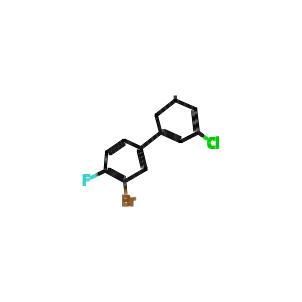 Fc1ccc(C2=CC(Cl)=C[CH]C2)cc1Br